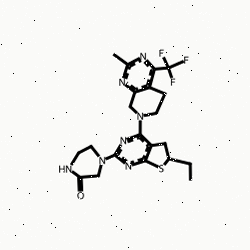 CCC1Cc2c(nc(N3CCNC(=O)C3)nc2N2CCc3c(nc(C)nc3C(F)(F)F)C2)S1